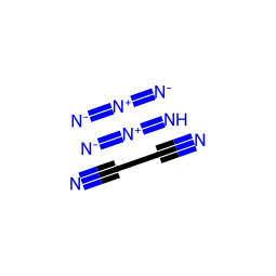 N#CC#N.[N-]=[N+]=N.[N-]=[N+]=[N-]